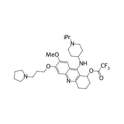 COc1cc2c(NC3CCN(C(C)C)CC3)c3c(nc2cc1OCCCN1CCCC1)CCCC3OC(=O)C(F)(F)F